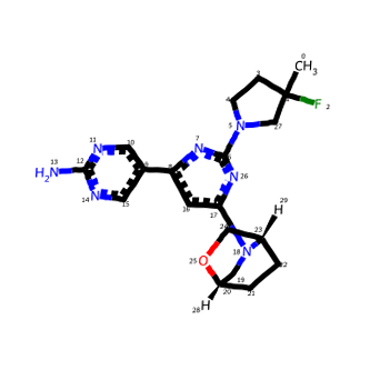 CC1(F)CCN(c2nc(-c3cnc(N)nc3)cc(N3C[C@@H]4CC[C@H]3CO4)n2)C1